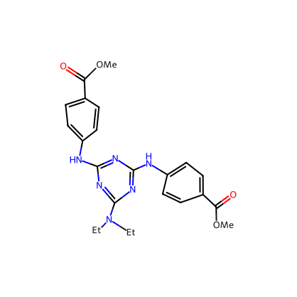 CCN(CC)c1nc(Nc2ccc(C(=O)OC)cc2)nc(Nc2ccc(C(=O)OC)cc2)n1